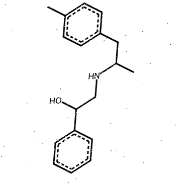 Cc1ccc(CC(C)NCC(O)c2ccccc2)cc1